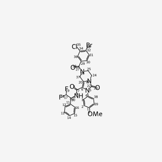 COc1ccc(-n2c(C(=O)N[C@@H](c3ccccc3)C(F)F)c3n(c2=O)CCN(C(=O)c2ccc(Br)c(Cl)c2)C3)cc1